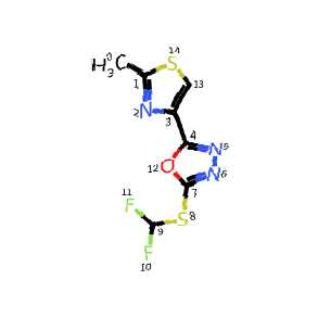 Cc1nc(-c2nnc(SC(F)F)o2)cs1